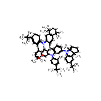 Cc1cc(C(C)(C)C)ccc1N1c2cc(N3c4ccc(C(C)(C)C)cc4C4(C)CCCC34C)ccc2B2c3cc4c(cc3N(c3ccc(C(C)(C)C)cc3-c3ccccc3)c3cc(C(C)(C)C)cc1c32)C(C)(C)CCC4(C)C